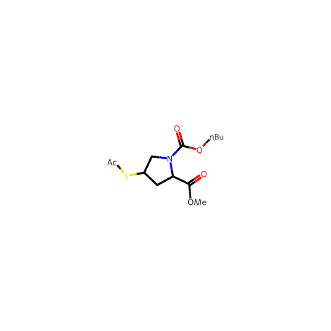 CCCCOC(=O)N1CC(SC(C)=O)CC1C(=O)OC